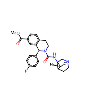 COC(=O)c1ccc2c(c1)[C@H](c1ccc(F)cc1)N(C(=O)N[C@@H]1CN3CCC1CC3)CC2